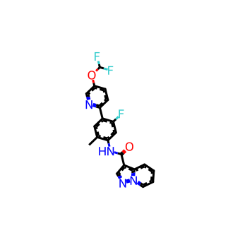 Cc1cc(-c2ccc(OC(F)F)cn2)c(F)cc1NC(=O)c1cnn2ccccc12